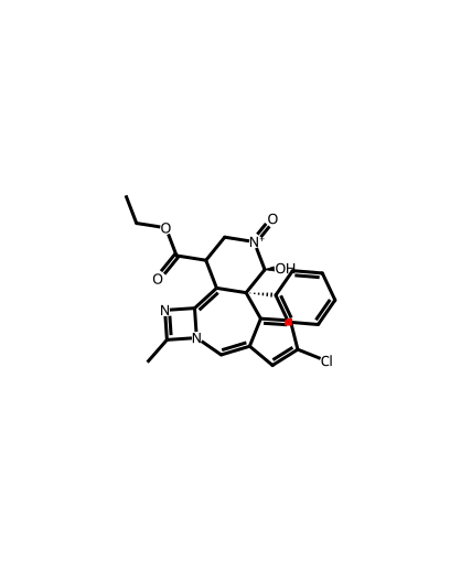 CCOC(=O)C1C[N+](=O)[C@@H](O)[C@@]2(c3ccccc3)C3=CC(Cl)=CC3=CN3C(C)=NC3=C12